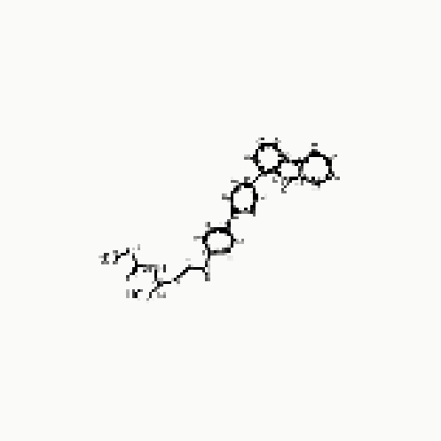 CC(C)(C)OC(=O)N[C@@H](CCOc1ccc(-c2ccc(-c3cccc4c3oc3ccccc34)cc2)cc1)C(=O)O